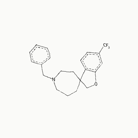 FC(F)(F)c1ccc2c(c1)OCC21CCCN(Cc2ccccc2)CC1